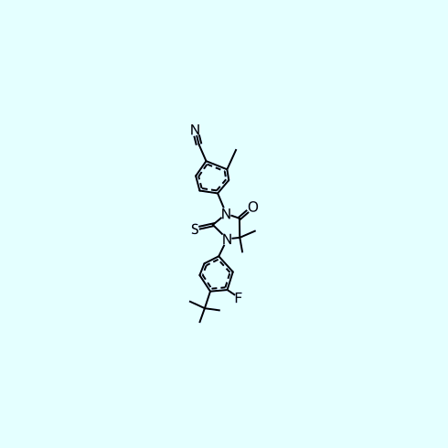 Cc1cc(N2C(=O)C(C)(C)N(c3ccc(C(C)(C)C)c(F)c3)C2=S)ccc1C#N